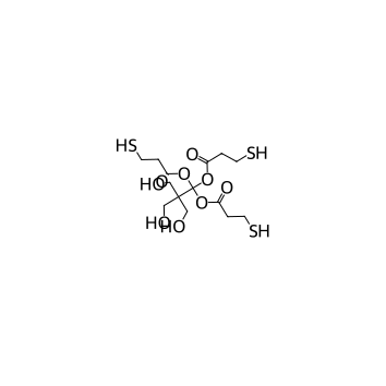 O=C(CCS)OC(OC(=O)CCS)(OC(=O)CCS)C(CO)(CO)CO